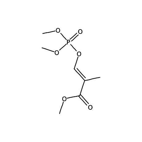 COC(=O)C(C)=COP(=O)(OC)OC